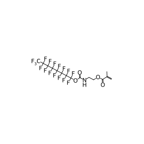 C=C(C)C(=O)OCCNC(=O)OC(F)(F)C(F)(F)C(F)(F)C(F)(F)C(F)(F)C(F)(F)C(F)(F)C(F)(F)F